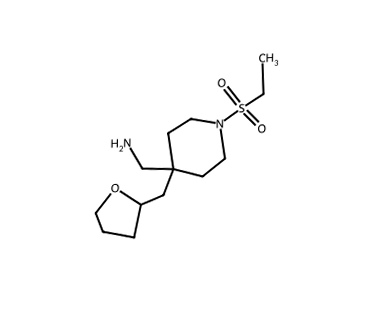 CCS(=O)(=O)N1CCC(CN)(CC2CCCO2)CC1